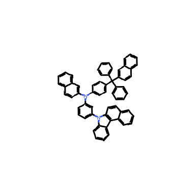 c1ccc(C(c2ccccc2)(c2ccc(N(c3cccc(-n4c5ccccc5c5c6ccccc6ccc54)c3)c3ccc4ccccc4c3)cc2)c2ccc3ccccc3c2)cc1